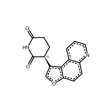 O=C1CC[C@@H](c2coc3ccc4ncccc4c23)C(=O)N1